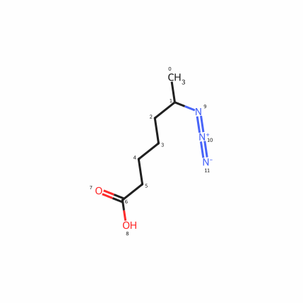 CC(CCCCC(=O)O)N=[N+]=[N-]